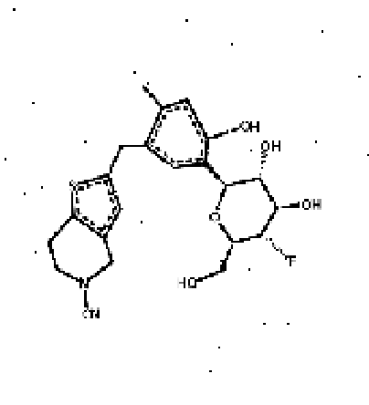 Cc1cc(O)c([C@@H]2O[C@H](CO)[C@@H](F)[C@H](O)[C@H]2O)cc1Cc1cc2c(s1)CCN(C#N)C2